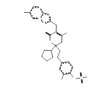 CCc1cc(CCC2(C3CCCC3)CC(O)=C(Cc3nc4ncc(C)cn4n3)C(=O)O2)ccc1NS(C)(=O)=O